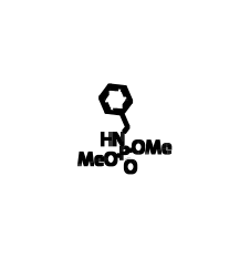 COP(=O)(NCc1ccccc1)OC